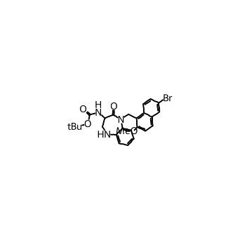 COc1ccc2cc(Br)ccc2c1CN1C(=O)C(NC(=O)OC(C)(C)C)CNc2ccccc21